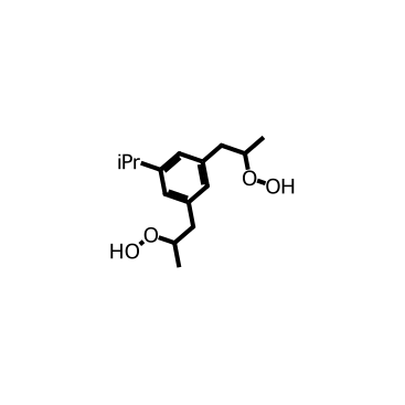 CC(Cc1cc(CC(C)OO)cc(C(C)C)c1)OO